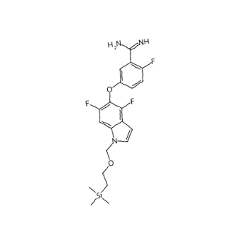 C[Si](C)(C)CCOCn1ccc2c(F)c(Oc3ccc(F)c(C(=N)N)c3)c(F)cc21